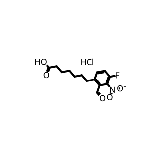 Cl.O=Cc1c(CCCCCCC(=O)O)ccc(F)c1[N+](=O)[O-]